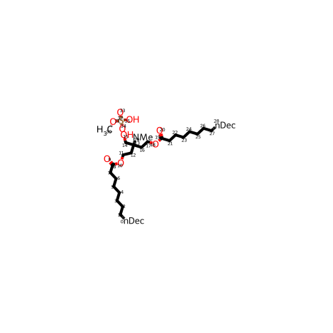 CCCCCCCCCCCCCCCCCC(=O)OCCC(CO)(CCOC(=O)CCCCCCCCCCCCCCCCC)NC.COS(=O)(=O)O